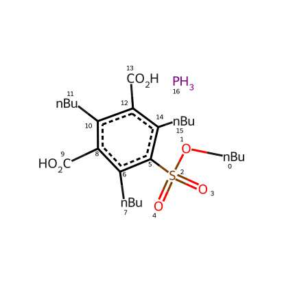 CCCCOS(=O)(=O)c1c(CCCC)c(C(=O)O)c(CCCC)c(C(=O)O)c1CCCC.P